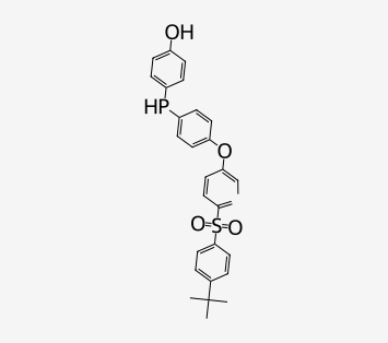 C=C(/C=C\C(=C/C)Oc1ccc(Pc2ccc(O)cc2)cc1)S(=O)(=O)c1ccc(C(C)(C)C)cc1